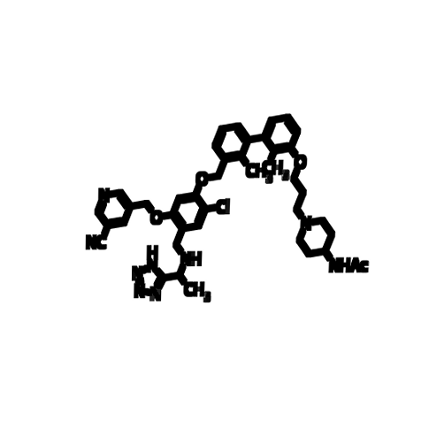 CC(=O)NC1CCN(CCCOc2cccc(-c3cccc(COc4cc(OCc5cncc(C#N)c5)c(CNC(C)c5nnn[nH]5)cc4Cl)c3C)c2C)CC1